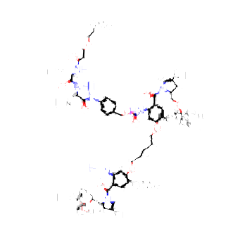 COCCOCCC(=O)N[C@H](C(=O)N[C@@H](C)C(=O)Nc1ccc(COC(=O)Nc2cc(OCCCCCOc3cc(N)c(C(=O)N4C=C(C)C[C@H]4CO[Si](C)(C)C(C)(C)C)cc3OC)c(OC)cc2C(=O)N2C=C(C)C[C@H]2CO[Si](C)(C)C(C)(C)C)cc1)C(C)C